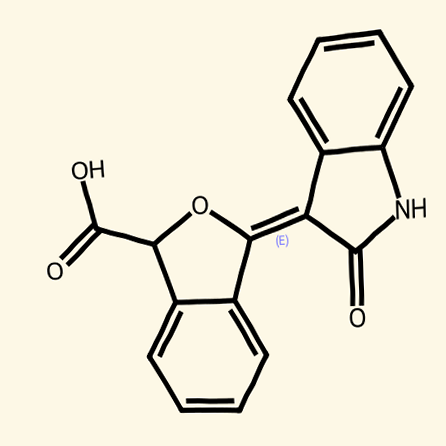 O=C1Nc2ccccc2/C1=C1\OC(C(=O)O)c2ccccc21